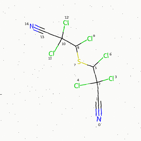 N#CC(Cl)(Cl)C(Cl)SC(Cl)C(Cl)(Cl)C#N